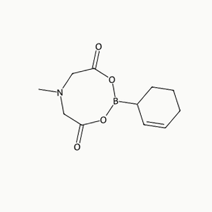 CN1CC(=O)OB(C2C=CCCC2)OC(=O)C1